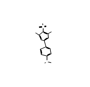 CN(C)c1ccc(-c2cc(Cl)c(S(=O)(=O)O)c(Cl)c2)cc1